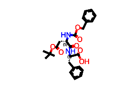 CC(C)(C)OC(=O)C[C@H](NC(=O)OCc1ccccc1)C(=O)N[C@@H](Cc1ccccc1)C(=O)O